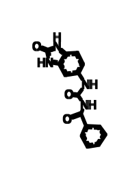 O=C(NC(=O)c1ccccc1)Nc1ccc2[nH]c(=O)[nH]c2c1